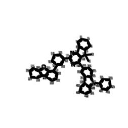 CC1(C)c2ccccc2-c2nc(-c3cccc(-c4cccc5c4oc4ccccc45)c3)nc(-c3ccc4c(c3)c3ccccc3n4-c3ccccc3)c21